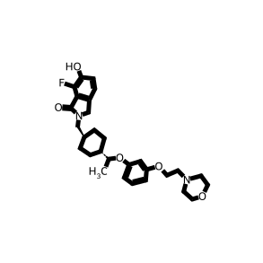 CC(Oc1cccc(OCCN2CCOCC2)c1)[C@H]1CC[C@H](CN2Cc3ccc(O)c(F)c3C2=O)CC1